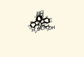 Cl.Cl.[CH3][Zr](=[SiH2])([CH2]CCO)([CH]1c2ccccc2-c2ccccc21)[CH]1c2ccccc2-c2ccccc21